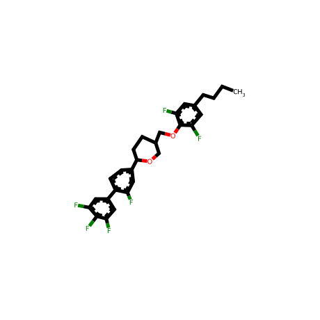 CCCCc1cc(F)c(OCC2CCC(c3ccc(-c4cc(F)c(F)c(F)c4)c(F)c3)OC2)c(F)c1